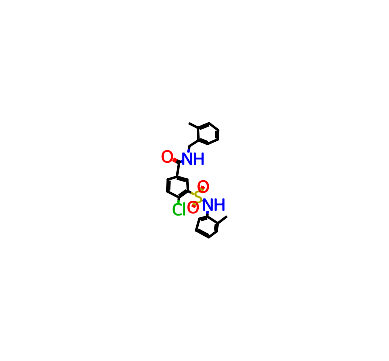 Cc1ccccc1CNC(=O)c1ccc(Cl)c(S(=O)(=O)Nc2ccccc2C)c1